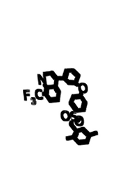 Cc1ccc(C)c(CS(=O)(=O)c2ccc(Oc3cccc(-c4ccnc5c(C(F)(F)F)cccc45)c3)cc2)c1